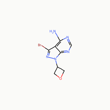 Nc1ncnc2c1c(Br)nn2C1COC1